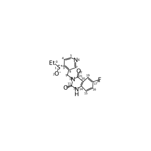 CC[S+]([O-])c1ccncc1Cn1c(=O)[nH]c2ccc(F)cc2c1=O